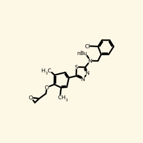 CCCCN(Cc1ccccc1Cl)c1nnc(-c2cc(C)c(OCC3CO3)c(C)c2)s1